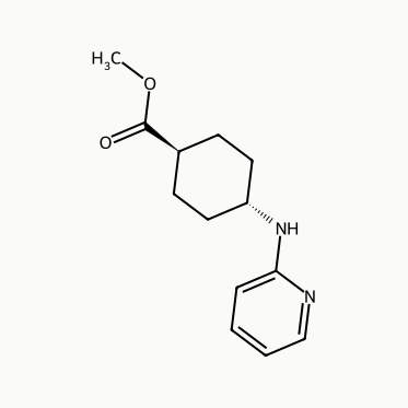 COC(=O)[C@H]1CC[C@H](Nc2ccccn2)CC1